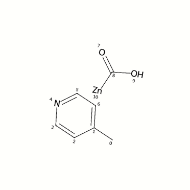 Cc1ccncc1.O=[C](O)[Zn]